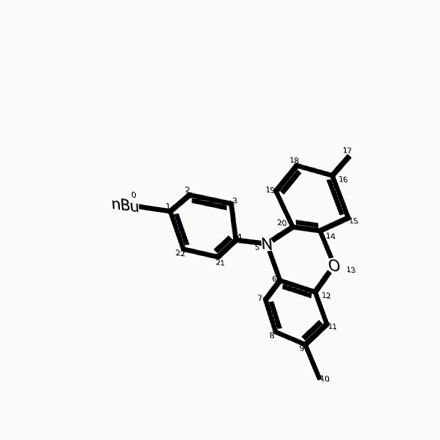 CCCCc1ccc(N2c3ccc(C)cc3Oc3cc(C)ccc32)cc1